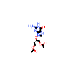 CC(=O)OCC[C@@H](COC(C)=O)On1cnc2c(=O)[nH]c(N)nc21